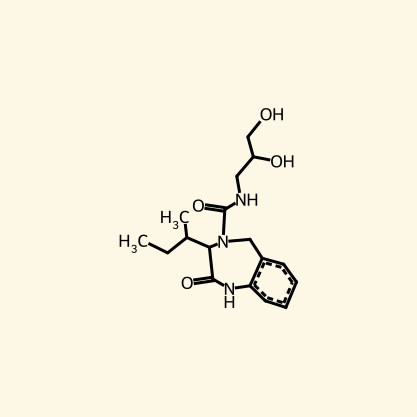 CCC(C)C1C(=O)Nc2ccccc2CN1C(=O)NCC(O)CO